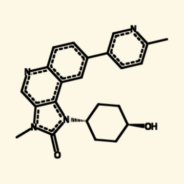 Cc1ccc(-c2ccc3ncc4c(c3c2)n([C@H]2CC[C@H](O)CC2)c(=O)n4C)cn1